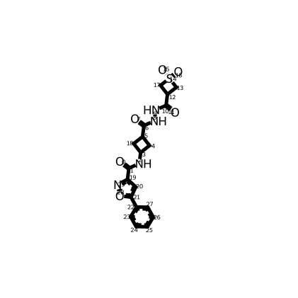 O=C(NC1CC(C(=O)NNC(=O)C2CS(=O)(=O)C2)C1)c1cc(-c2ccccc2)on1